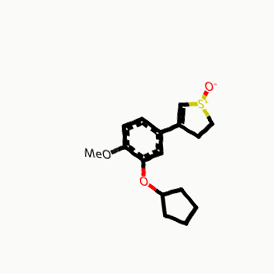 COc1ccc(C2=C[S+]([O-])CC2)cc1OC1CCCC1